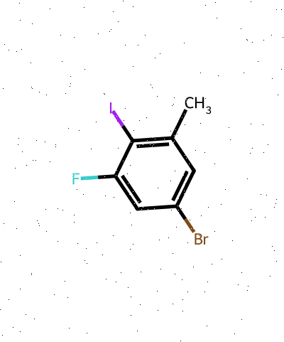 Cc1cc(Br)cc(F)c1I